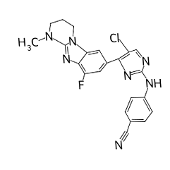 CN1CCCn2c1nc1c(F)cc(-c3nc(Nc4ccc(C#N)cc4)ncc3Cl)cc12